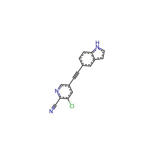 N#Cc1ncc(C#Cc2ccc3[nH]ccc3c2)cc1Cl